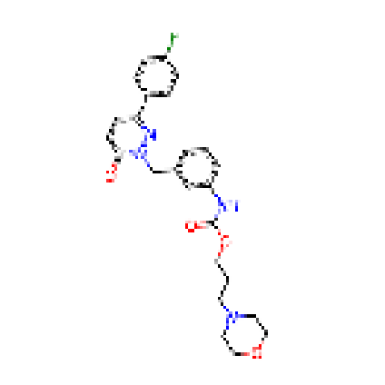 O=C(Nc1cccc(Cn2nc(-c3ccc(F)cc3)ccc2=O)c1)OCCCN1CCOCC1